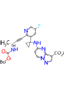 C[C@H](C#Cc1ncc(F)cc1C1(Nc2ccn3ncc(C(=O)O)c3n2)CC1)NC(=O)OC(C)(C)C